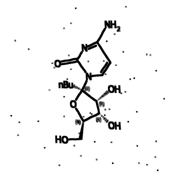 CCCC[C@@]1(n2ccc(N)nc2=O)O[C@H](CO)[C@@H](O)[C@H]1O